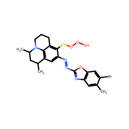 Cc1cc2nc(N=Nc3cc4c5c(c3SOOO)CCCN5C(C)CC4C)oc2cc1C(C)C